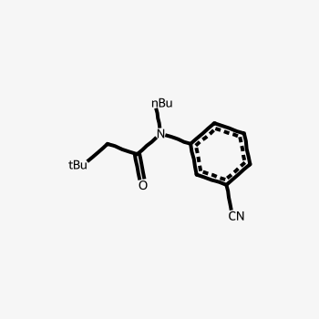 CCCCN(C(=O)CC(C)(C)C)c1cccc(C#N)c1